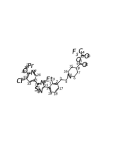 CCc1c(CCN2CCC(C(=O)OC(=O)C(F)(F)F)CC2)cccc1-c1nsc(-c2cnc(OC(C)C)c(Cl)c2)n1